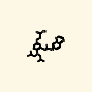 CC(C)CN(CC(C)C)c1ccc(CCC(=O)O)cc1NC(=O)Nc1ccc2nccnc2c1